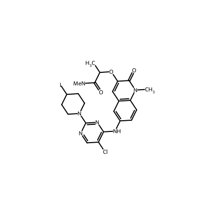 CNC(=O)C(C)Oc1cc2cc(Nc3nc(N4CCC(I)CC4)ncc3Cl)ccc2n(C)c1=O